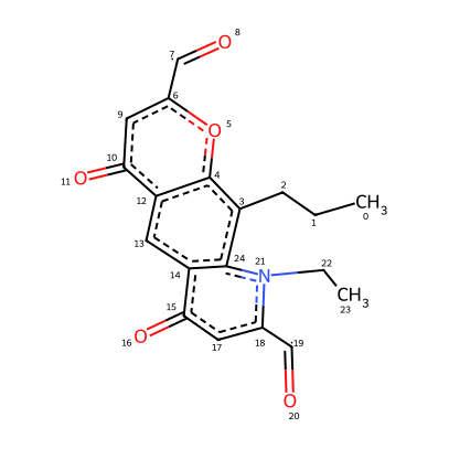 CCCc1c2oc([C]=O)cc(=O)c2cc2c(=O)cc([C]=O)n(CC)c12